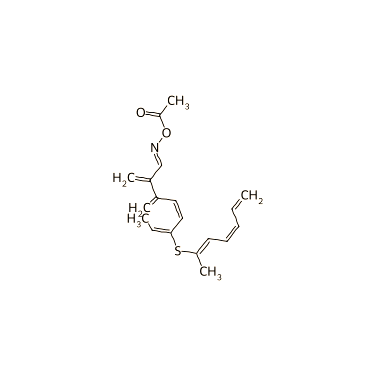 C=C/C=C\C=C(/C)SC(/C=C\C(=C)C(=C)/C=N/OC(C)=O)=C/C